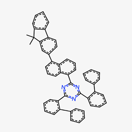 CC1(C)c2ccccc2-c2ccc(-c3cccc4c(-c5nc(-c6ccccc6-c6ccccc6)nc(-c6ccccc6-c6ccccc6)n5)cccc34)cc21